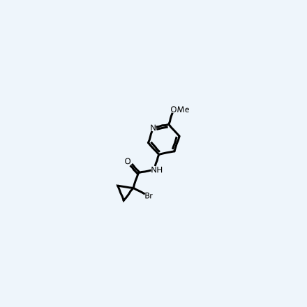 COc1ccc(NC(=O)C2(Br)CC2)cn1